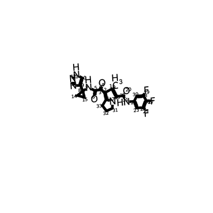 Cc1c(C(=O)C(=O)NC2(c3c[nH]nn3)CC2)c2n(c1C(=O)Nc1cc(F)c(F)c(F)c1)CCC2